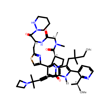 CCn1c(-c2cccnc2[C@H](C)OC)c(CC(C)(C)COC(C)=O)c2cc(-c3csc(C[C@H](NC(=O)[C@H](C)N(C)C(=O)[C@H]4CCN(C(=O)C#CC(C)(C)N5CCC5)C4)C(=O)N4CCCCN4)n3)ccc21